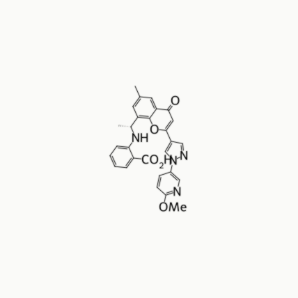 COc1ccc(-n2cc(-c3cc(=O)c4cc(C)cc([C@@H](C)Nc5ccccc5C(=O)O)c4o3)cn2)cn1